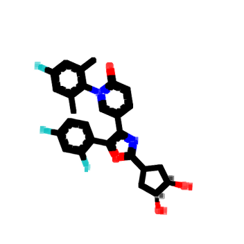 Cc1cc(F)cc(C)c1-n1cc(-c2nc(C3C[C@@H](O)[C@H](O)C3)oc2-c2ccc(F)cc2F)ccc1=O